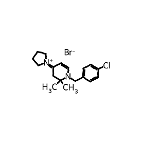 CC1(C)CC(=[N+]2CCCC2)C=CN1Cc1ccc(Cl)cc1.[Br-]